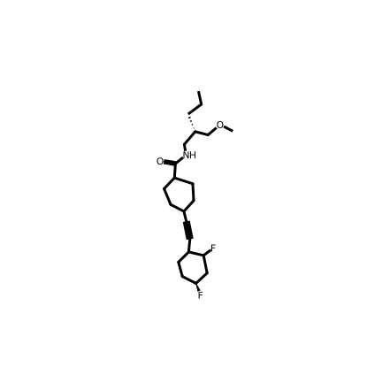 CCC[C@@H](CNC(=O)C1CCC(C#CC2CC[C@H](F)CC2F)CC1)COC